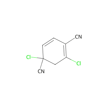 N#CC1=C(Cl)CC(Cl)(C#N)C=C1